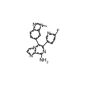 Cn1cnc2ccc(-c3c(-c4ccc(F)nc4)nc(N)c4nccn34)cc21